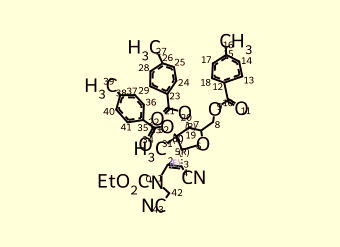 CCOC(=O)N(/C=C(\C#N)[C@H]1OC(COC(=O)c2ccc(C)cc2)[C@@H](OC(=O)c2ccc(C)cc2)[C@@]1(C)OC(=O)c1ccc(C)cc1)CC#N